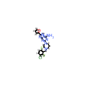 Nc1nc(N2CCCN(Cc3c(F)ccc(Cl)c3F)CC2)nc2nc(-c3ccco3)nn12